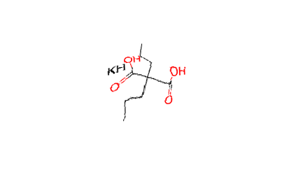 CCCC(CCC)(C(=O)O)C(=O)O.[KH]